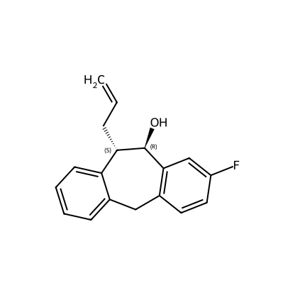 C=CC[C@H]1c2ccccc2Cc2ccc(F)cc2[C@@H]1O